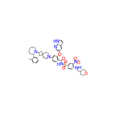 Cc1ccccc1C1CCCCCN1C1CC2(CCN(c3ccc(C(=O)NS(=O)(=O)c4ccc(NCC5CCOCC5)c([N+](=O)[O-])c4)c(Oc4cnc5[nH]ccc5c4)c3)CC2)C1